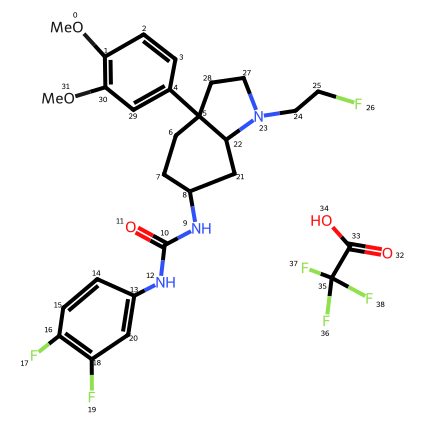 COc1ccc(C23CCC(NC(=O)Nc4ccc(F)c(F)c4)CC2N(CCF)CC3)cc1OC.O=C(O)C(F)(F)F